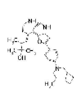 CCCN(CC1CCC1)c1ccc(C2=CC3NC=CC(C(/C=C\N)=C/C(C)C(C)(C)O)=C3O2)cc1